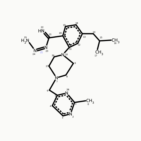 Cc1nccc(CN2CCN(c3cc(CC(C)C)ccc3C(=N)/N=N\N)CC2)n1